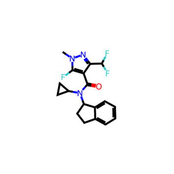 Cn1nc(C(F)F)c(C(=O)N(C2CC2)C2CCc3ccccc32)c1F